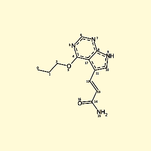 CCCOc1ncnc2[nH]cc(/C=C/C(N)=O)c12